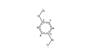 [CH2]Cc1ccc(C[CH2])cc1